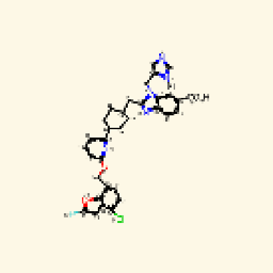 CCn1cncc1Cn1c(CC2CCC(c3cccc(OCc4ccc(Cl)c5cc(F)oc45)n3)CC2)nc2ccc(C(=O)O)cc21